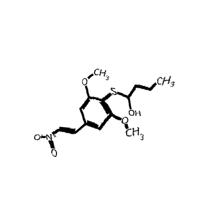 CCCC(O)Sc1c(OC)cc(C=C[N+](=O)[O-])cc1OC